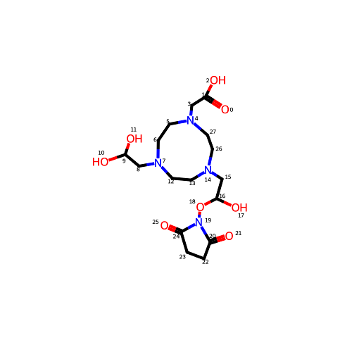 O=C(O)CN1CCN(CC(O)O)CCN(CC(O)ON2C(=O)CCC2=O)CC1